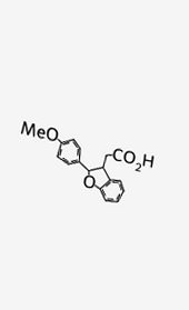 COc1ccc(C2Oc3ccccc3C2CC(=O)O)cc1